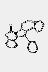 O=c1oc2ccccc2c2c(-c3ccccc3)c3c4ccccc4ccn3c12